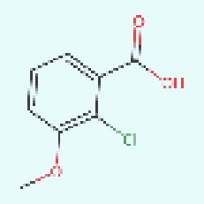 COc1cccc(C(=O)O)c1Cl